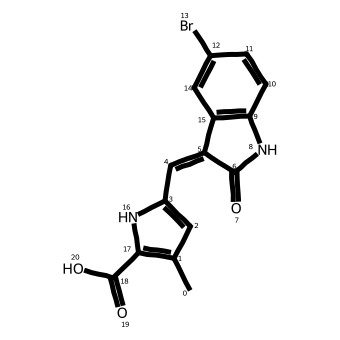 Cc1cc(C=C2C(=O)Nc3ccc(Br)cc32)[nH]c1C(=O)O